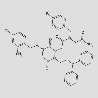 Cc1cc(Cl)ccc1CCN1CC(=O)N(CCC(c2ccccc2)c2ccccc2)C(CC(=O)N(CC(N)=O)Cc2ccc(F)cc2)C1=O